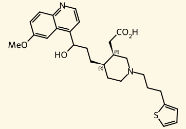 COc1ccc2nccc(C(O)CC[C@@H]3CCN(CCCc4cccs4)C[C@@H]3CC(=O)O)c2c1